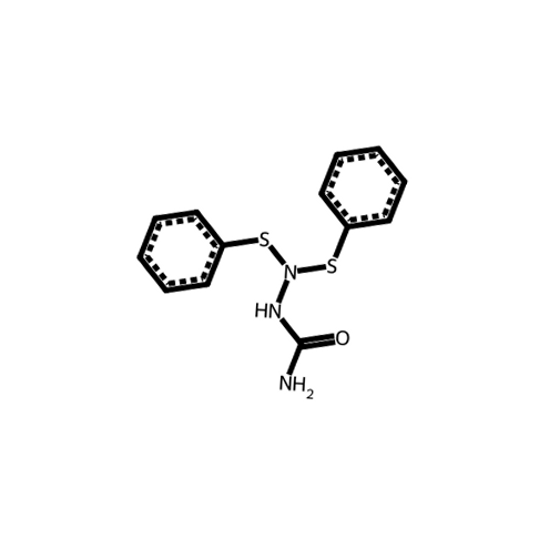 NC(=O)NN(Sc1ccccc1)Sc1ccccc1